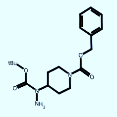 CC(C)(C)OC(=O)N(N)C1CCN(C(=O)OCc2ccccc2)CC1